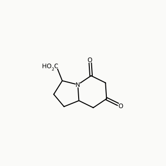 O=C1CC(=O)N2C(CCC2C(=O)O)C1